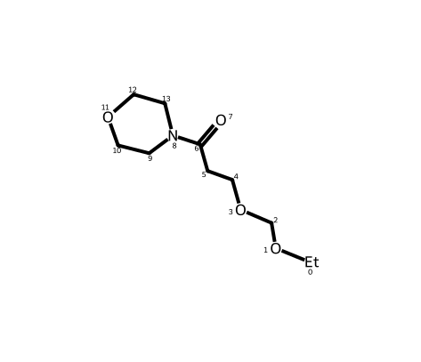 [CH2]COCOCCC(=O)N1CCOCC1